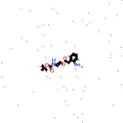 CC(C)(C)OC(=O)NCCOC(=O)Cc1ccccc1N